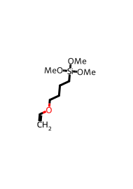 C=COCCCC[Si](OC)(OC)OC